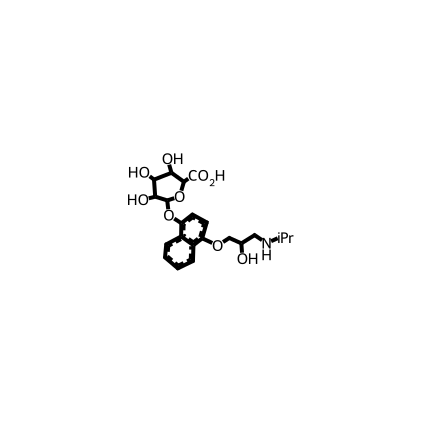 CC(C)NCC(O)COc1ccc(OC2OC(C(=O)O)C(O)C(O)C2O)c2ccccc12